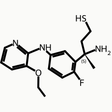 CCOc1cccnc1Nc1ccc(F)c([C@@](C)(N)CCS)c1